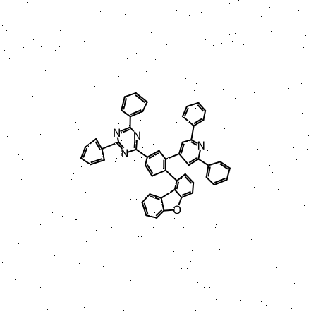 c1ccc(-c2cc(-c3cc(-c4nc(-c5ccccc5)nc(-c5ccccc5)n4)ccc3-c3cccc4oc5ccccc5c34)cc(-c3ccccc3)n2)cc1